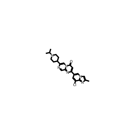 Cc1cn2cc(-c3cc(=O)n4cc(C5CCN(C(C)C)CC5)ncc4n3)cc(Cl)c2n1